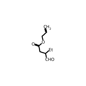 C=CCOC(=O)CC(C=O)CC